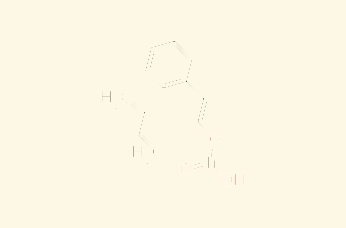 C=CC=C.[O]=[Ti]([OH])[O]C=Cc1ccccc1